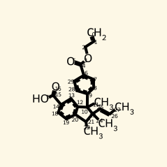 C=CCOC(=O)c1ccc(C2(C)c3cc(C(=O)O)ccc3C(C)C2(C)C=CC)cc1